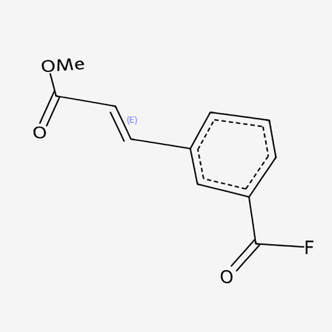 COC(=O)/C=C/c1cccc(C(=O)F)c1